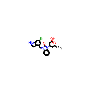 CCCC(CC(=O)O)n1c(=O)n(Cc2cc(Br)cc3[nH]ccc23)c2ccccc21